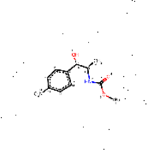 C[C@@H](NC(=O)OC(C)(C)C)[C@@H](O)c1ccc([N+](=O)[O-])cc1